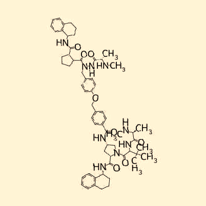 CN[C@@H](C)C(=O)NC(C(=O)N1C[C@@H](NC(=O)c2ccc(COc3ccc(CN(NC(=O)[C@H](C)NC)C(=O)C4CCCC4C(=O)NC4CCCc5ccccc54)cc3)cc2)CC1C(=O)NC1CCCc2ccccc21)C(C)(C)C